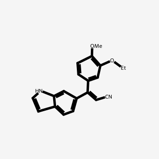 CCOc1cc(C(=CC#N)c2ccc3cc[nH]c3c2)ccc1OC